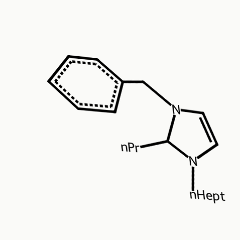 CCCCCCCN1C=CN(Cc2ccccc2)C1CCC